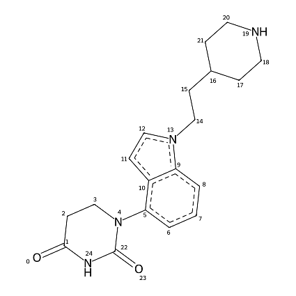 O=C1CCN(c2cccc3c2ccn3CCC2CCNCC2)C(=O)N1